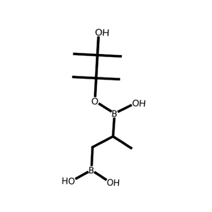 CC(CB(O)O)B(O)OC(C)(C)C(C)(C)O